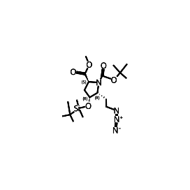 COC(=O)[C@@H]1C[C@@H](O[Si](C)(C)C(C)(C)C)[C@@H](CCN=[N+]=[N-])N1C(=O)OC(C)(C)C